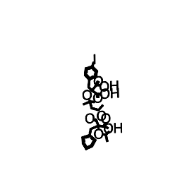 CC(C)OC(Cc1ccccc1)(C(=O)O)C(=O)OC(C)CC(C)(C)OC(Cc1ccc(I)cc1)(C(=O)O)C(=O)O